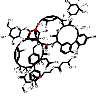 CC(C)C[C@H](C(=O)N[C@H]1C(=O)N[C@@H](CC(N)=O)C(=O)N[C@H]2C(=O)N[C@H]3C(=O)N[C@H](C(=O)N[C@H](C(=O)O)c4cc(O)cc(O)c4-c4cc3ccc4O)[C@H](O[C@H]3C[C@](C)(N)[C@@H](O)[C@H](C)O3)c3ccc(c(Cl)c3)Oc3cc2cc(c3O[C@@H]2O[C@H](CO)[C@@H](O)[C@H](O)[C@H]2O[C@H]2C[C@](C)(NCc3ccc(-c4ccc(Cl)cc4)cc3)[C@@H](O)[C@H](C)O2)Oc2ccc(cc2Cl)[C@H]1O)N(C)C(=O)CCCOC(=O)CC(C=O)C=O